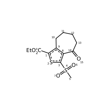 CCOC(=O)c1sc(S(C)(=O)=O)c2c1CCCCC2=O